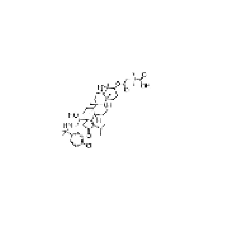 CC(C)C1=C2[C@H]3CC[C@@H]4[C@@]5(C)CC[C@H](OC(=O)CC(C)(C)C(=O)O)C(C)(C)[C@H]5CC[C@@]4(C)[C@]3(C)CC[C@@]2([C@@H](O)CNC2(c3ccc(Cl)cc3)CC2)CC1=O